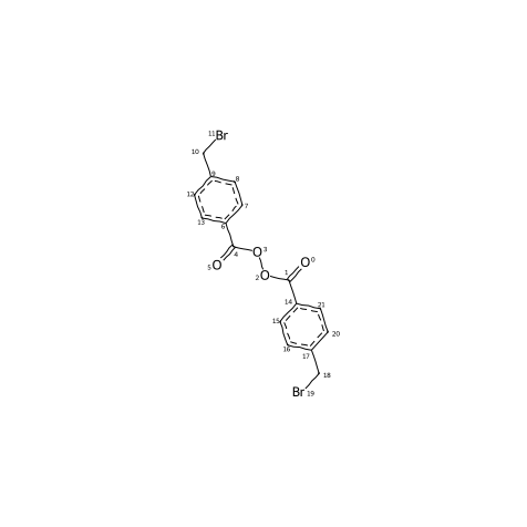 O=C(OOC(=O)c1ccc(CBr)cc1)c1ccc(CBr)cc1